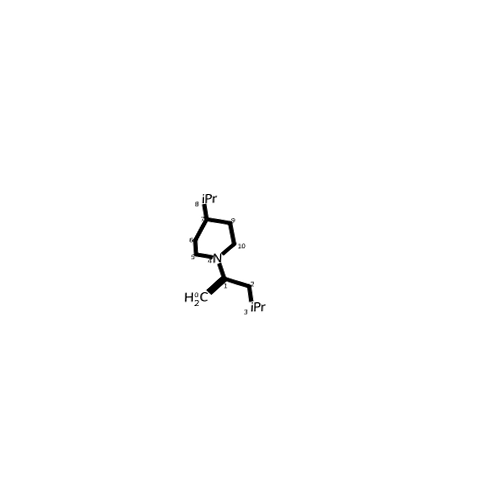 C=C(CC(C)C)N1CCC(C(C)C)CC1